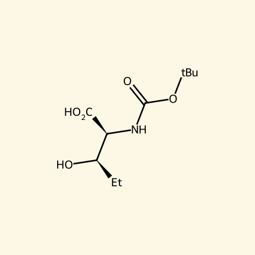 CC[C@@H](O)[C@H](NC(=O)OC(C)(C)C)C(=O)O